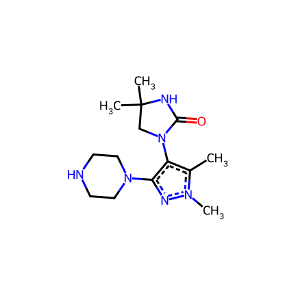 Cc1c(N2CC(C)(C)NC2=O)c(N2CCNCC2)nn1C